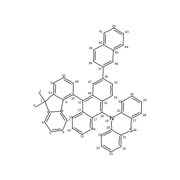 CC1(C)c2ccccc2-c2c(-c3c4ccccc4c(N4c5ccccc5Sc5ccccc54)c4ccc(-c5ccc6ccccc6c5)cc34)cccc21